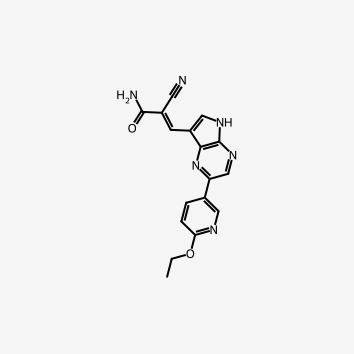 CCOc1ccc(-c2cnc3[nH]cc(/C=C(\C#N)C(N)=O)c3n2)cn1